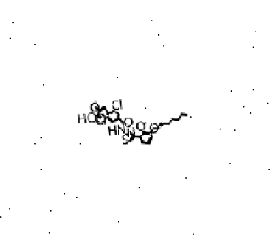 CCCCCCCOc1cccc(-c2csc(NC(=O)c3cc(Cl)c(/C=C(/OC)C(=O)O)c(Cl)c3)n2)c1OC